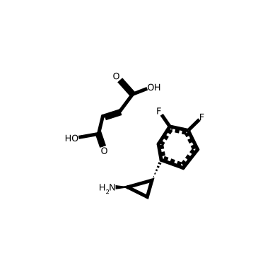 N[C@@H]1C[C@H]1c1ccc(F)c(F)c1.O=C(O)/C=C/C(=O)O